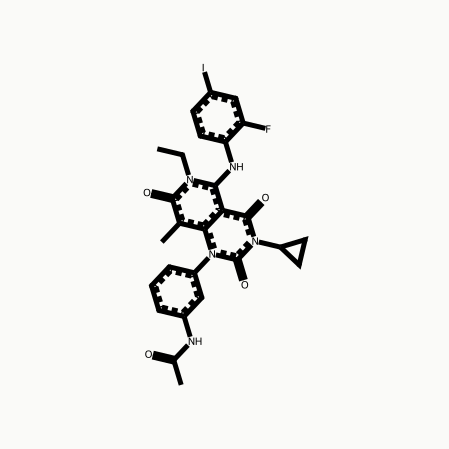 CCn1c(Nc2ccc(I)cc2F)c2c(=O)n(C3CC3)c(=O)n(-c3cccc(NC(C)=O)c3)c2c(C)c1=O